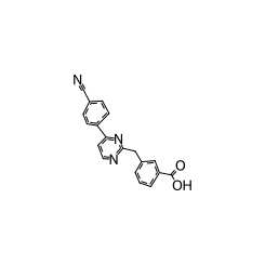 N#Cc1ccc(-c2ccnc(Cc3cccc(C(=O)O)c3)n2)cc1